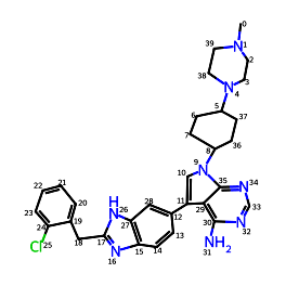 CN1CCN(C2CCC(n3cc(-c4ccc5nc(Cc6ccccc6Cl)[nH]c5c4)c4c(N)ncnc43)CC2)CC1